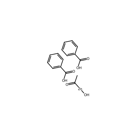 C[C](=O)[Zn][OH].O=C(O)c1ccccc1.O=C(O)c1ccccc1